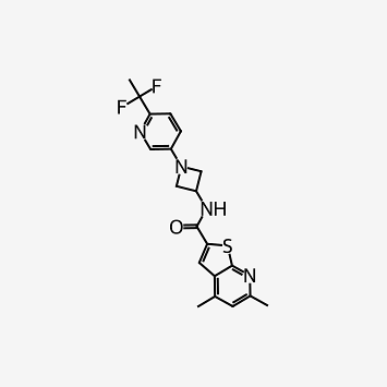 Cc1cc(C)c2cc(C(=O)NC3CN(c4ccc(C(C)(F)F)nc4)C3)sc2n1